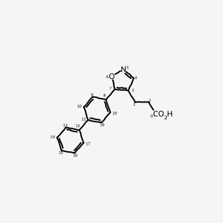 O=C(O)CCc1cnoc1-c1ccc(-c2ccccc2)cc1